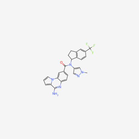 Cn1cc(N(C(=O)c2ccc3nc(N)c4cccn4c3c2)C2CCc3cc(C(F)(F)F)ccc32)cn1